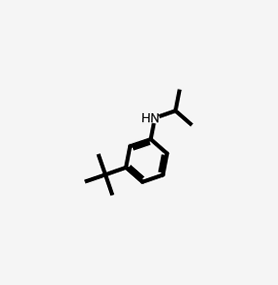 CC(C)Nc1cccc(C(C)(C)C)c1